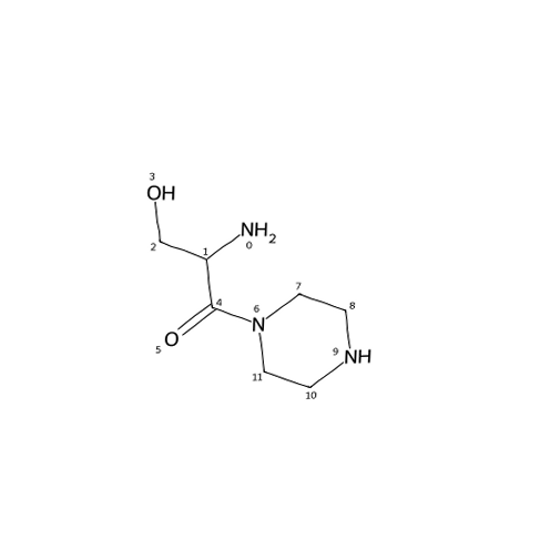 NC(CO)C(=O)N1CCNCC1